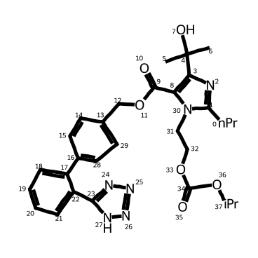 CCCc1nc(C(C)(C)O)c(C(=O)OCc2ccc(-c3ccccc3-c3nnn[nH]3)cc2)n1CCOC(=O)OC(C)C